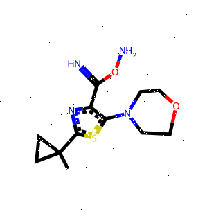 CC1(c2nc(C(=N)ON)c(N3CCOCC3)s2)CC1